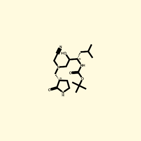 CC(C)C[C@H](NC(=O)OC(C)(C)C)C(O)CN(CC#N)C[C@@H]1CCNC1=O